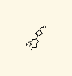 C=C/C=C(\C=C=CC(C)P)c1ccc(C=O)nc1